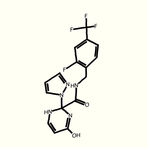 O=C(NCc1ccc(C(F)(F)F)cc1F)C1(n2cccn2)N=C(O)C=CN1